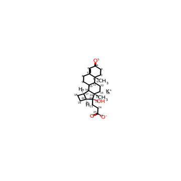 C[C@]12CCC(=O)C=C1CCC1C2CC[C@@]2(C)C1[C@@H]1CC[C@@H]1[C@@]2(O)CCC(=O)[O-].[K+]